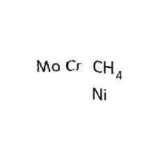 C.[Cr].[Mo].[Ni]